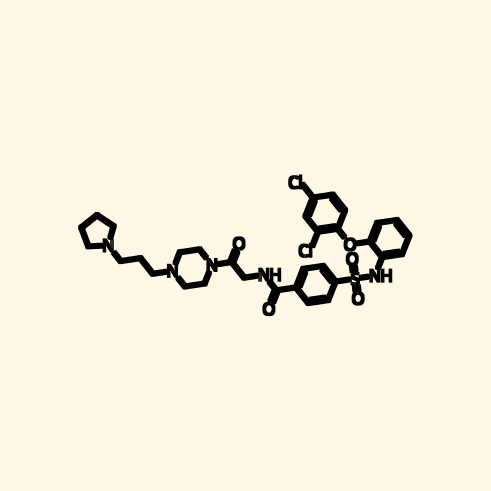 O=C(NCC(=O)N1CCN(CCCN2CCCC2)CC1)c1ccc(S(=O)(=O)Nc2ccccc2Oc2ccc(Cl)cc2Cl)cc1